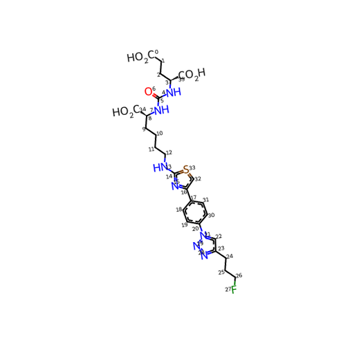 O=C(O)CC[C@H](NC(=O)N[C@@H](CCCCNc1nc(-c2ccc(-n3cc(CCCF)nn3)cc2)cs1)C(=O)O)C(=O)O